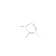 CCN1C=NN(C(C)C)C1Cl